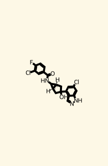 O=C(NC1[C@H]2CC(O)(c3cc(Cl)cc4[nH]ncc34)C[C@@H]12)c1ccc(F)c(Cl)c1